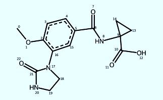 COc1ccc(C(=O)NC2(C(=O)O)CC2)cc1N1CCNC1=O